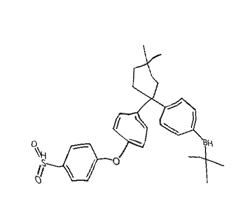 CC(C)(C)Bc1ccc(C2(c3ccc(Oc4ccc([SH](=O)=O)cc4)cc3)CCC(C)(C)C2)cc1